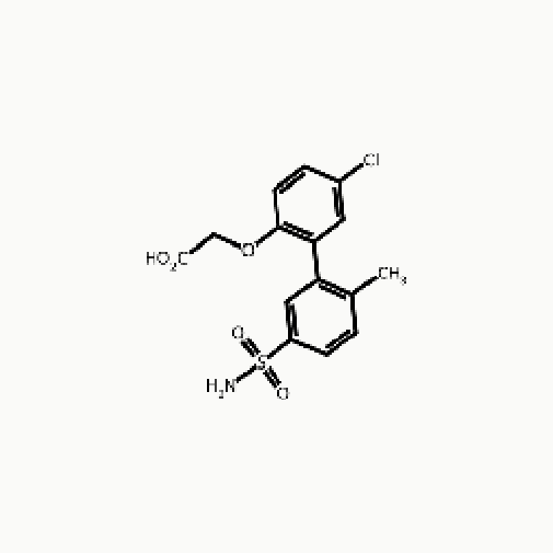 Cc1ccc(S(N)(=O)=O)cc1-c1cc(Cl)ccc1OCC(=O)O